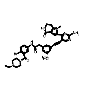 CCN1CCN(C(=O)c2cc(NC(=O)Cc3cccc(C#Cc4cnc(N)nc4-c4cc5c(n4C)CCNC5=O)c3)ccc2Br)CC1.Cl.Cl